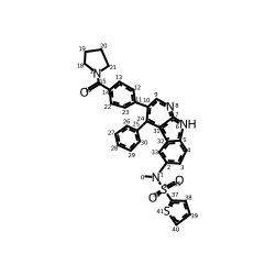 CN(c1ccc2[nH]c3ncc(-c4ccc(C(=O)N5CCCC5)cc4)c(-c4ccccc4)c3c2c1)S(=O)(=O)c1cccs1